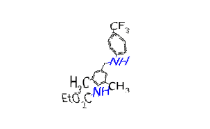 CCOC(=O)Nc1c(C)cc(CNc2ccc(C(F)(F)F)cc2)cc1C